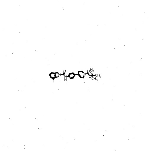 CC(C)(C)OC(=O)N1CC=C(c2ccc(NC(=O)N3Cc4cccc(F)c4C3)cc2)CC1